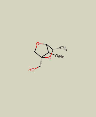 COC1C2OC[C@]1(CO)O[C@H]2C